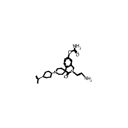 CC(C)[C@H]1CC[C@@H](N2CCC3(CC2)C(=O)N(CCN)Cc2cc(OC(N)=O)ccc23)CC1